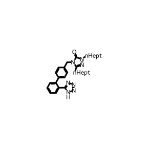 CCCCCCCc1nn(CCCCCCC)c(=O)n1Cc1ccc(-c2ccccc2-c2nnn[nH]2)cc1